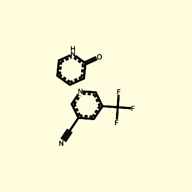 N#Cc1cncc(C(F)(F)F)c1.O=c1cccc[nH]1